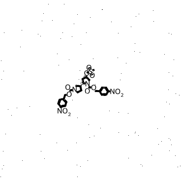 CS(=O)(=O)O[C@@H]1C[C@@H](C2CCN(C(=O)OCc3ccc([N+](=O)[O-])cc3)C2)N(C(=O)OCc2ccc([N+](=O)[O-])cc2)C1